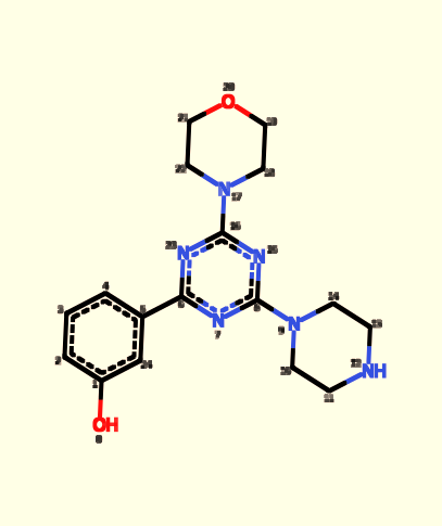 Oc1cccc(-c2nc(N3CCNCC3)nc(N3CCOCC3)n2)c1